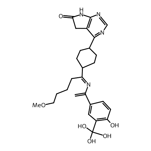 C=C(/N=C(\CCCCOC)C1CCC(c2ncnc3c2CC(=O)N3)CC1)c1ccc(O)c(C(O)(O)O)c1